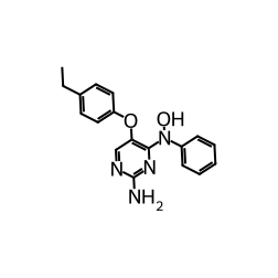 CCc1ccc(Oc2cnc(N)nc2N(O)c2ccccc2)cc1